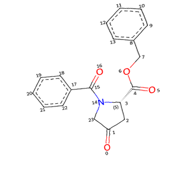 O=C1C[C@@H](C(=O)OCc2ccccc2)N(C(=O)c2ccccc2)C1